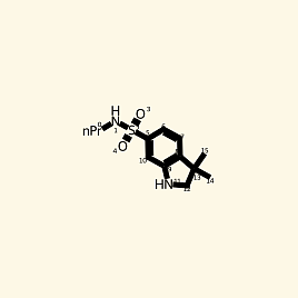 CCCNS(=O)(=O)c1ccc2c(c1)NCC2(C)C